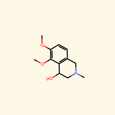 COc1ccc2c(c1OC)C(O)CN(C)C2